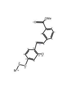 COC(=O)c1cccc(/C=C/c2ccc(OSBr)cc2Cl)c1